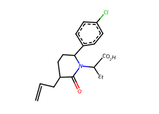 C=CCC1CCC(c2ccc(Cl)cc2)N(C(CC)C(=O)O)C1=O